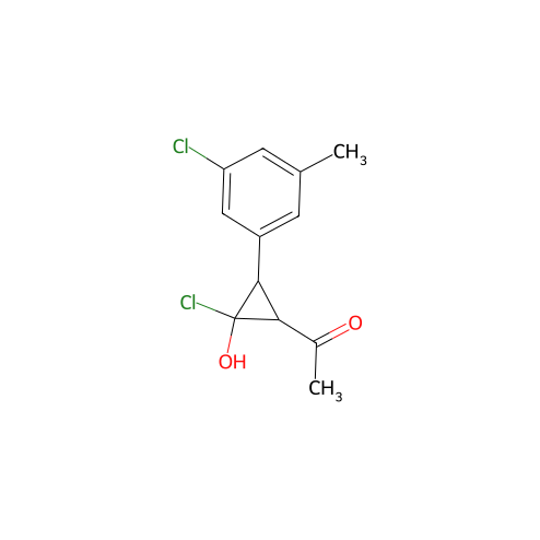 CC(=O)C1C(c2cc(C)cc(Cl)c2)C1(O)Cl